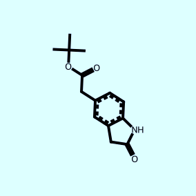 CC(C)(C)OC(=O)Cc1ccc2c(c1)CC(=O)N2